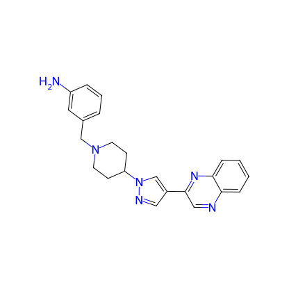 Nc1cccc(CN2CCC(n3cc(-c4cnc5ccccc5n4)cn3)CC2)c1